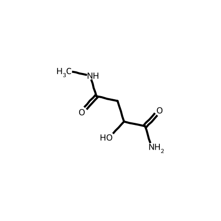 CNC(=O)CC(O)C(N)=O